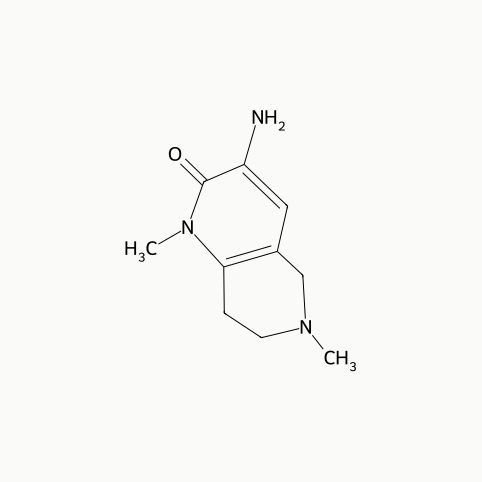 CN1CCc2c(cc(N)c(=O)n2C)C1